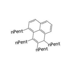 CCCCCC1=C(CCCCC)C(CCCCC)c2cccc3ccc(CCCCC)c1c23